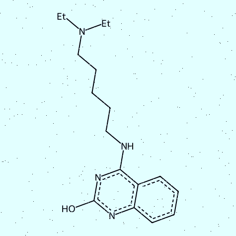 CCN(CC)CCCCCNc1nc(O)nc2ccccc12